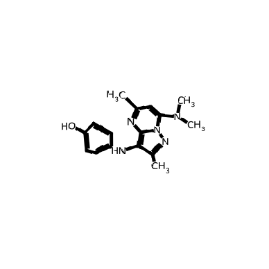 Cc1cc(N(C)C)n2nc(C)c(Nc3ccc(O)cc3)c2n1